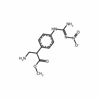 COC(=O)C(CN)c1ccc(NC(N)=N[N+](=O)[O-])cc1